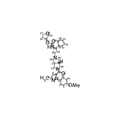 COc1ccc(-n2nc(C)cc2C(=O)N2CC3CN(CCC(NC(=O)OC4CCOC4)c4ccccc4)C[C@H]3C2)cc1